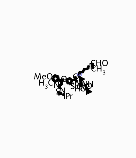 COc1ccc2c(O[C@@H]3CC(C(=O)NC4(C(=O)NS(=O)(=O)C5CC5)CC4/C=C\CCCCN(C)C=O)[C@H](S)C3)cc(-c3nc(C(C)C)cs3)nc2c1C